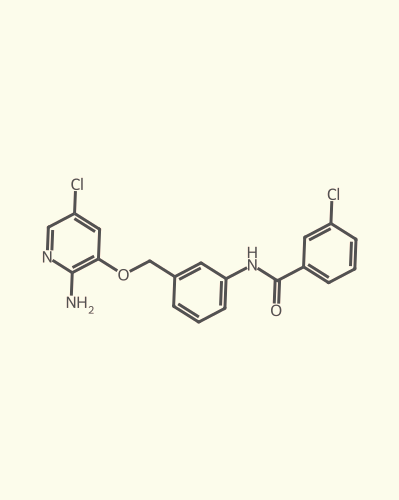 Nc1ncc(Cl)cc1OCc1cccc(NC(=O)c2cccc(Cl)c2)c1